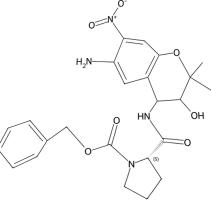 CC1(C)Oc2cc([N+](=O)[O-])c(N)cc2C(NC(=O)[C@@H]2CCCN2C(=O)OCc2ccccc2)C1O